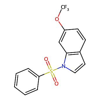 O=S(=O)(c1ccccc1)n1ccc2ccc(OC(F)(F)F)cc21